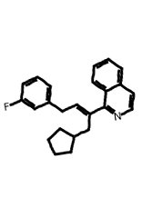 Fc1cccc(CC=C(CC2CCCC2)c2nccc3ccccc23)c1